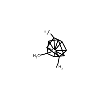 C[C]12[CH]3[CH]4[CH]5[CH]1[Ru]45321678[CH]2[CH]1[C]6(C)[CH]7[C]28C